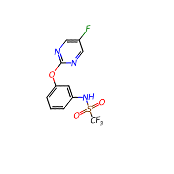 O=S(=O)(Nc1cccc(Oc2ncc(F)cn2)c1)C(F)(F)F